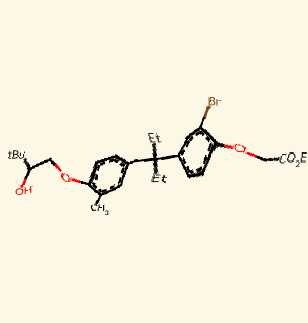 CCOC(=O)COc1ccc(C(CC)(CC)c2ccc(OCC(O)C(C)(C)C)c(C)c2)cc1Br